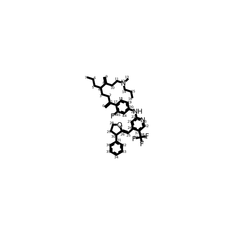 C=C(CCC(CCC)C(=C)CCN(C)CCC)c1ccc(Nc2cc(/C=C3\OCCC3c3ccccc3)c(C(F)(F)F)cn2)cc1F